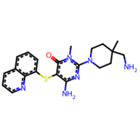 Cn1c(N2CCC(C)(CN)CC2)nc(N)c(Sc2cccc3cccnc23)c1=O